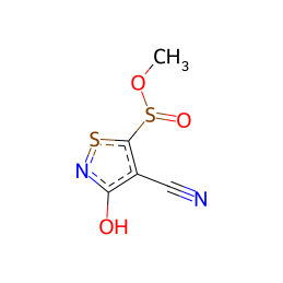 COS(=O)c1snc(O)c1C#N